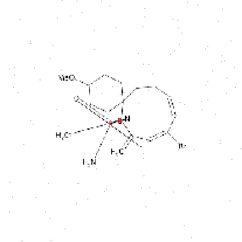 C=C1/C=C(Br)\C=C/CCC2(CCC(OC)CC2)C12CC(=O)N(C)C(N)=N2